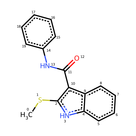 CSc1[nH]c2ccccc2c1C(=O)Nc1ccccc1